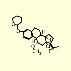 CO[C@H]1C[C@]2(C)C(=C(F)F)CC[C@H]2[C@@H]2CCc3cc(OC4CCCCO4)ccc3[C@H]21